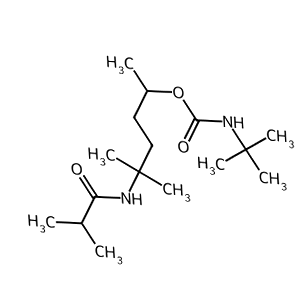 CC(CCC(C)(C)NC(=O)C(C)C)OC(=O)NC(C)(C)C